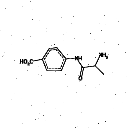 CC(N)C(=O)Nc1ccc(C(=O)O)cc1